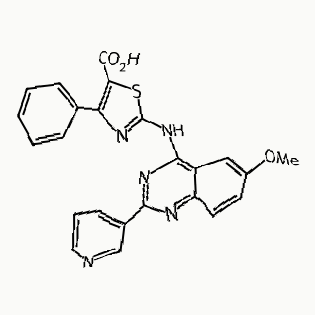 COc1ccc2nc(-c3cccnc3)nc(Nc3nc(-c4ccccc4)c(C(=O)O)s3)c2c1